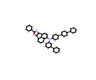 c1ccc(-c2ccc(-c3ccc(N(c4cccc(-c5ccccc5)c4)c4ccc5c6c(cccc46)-c4oc(-c6ccccc6)nc4-5)cc3)cc2)cc1